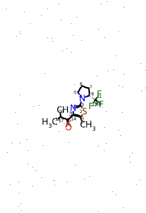 Cc1sc(N2CCC[C@@H]2C(F)(F)F)nc1C(=O)C(C)C